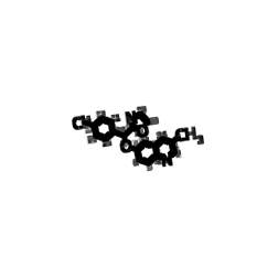 Cc1cnc2ccc(OC(c3ccc(Cl)cc3)c3ncco3)cc2c1